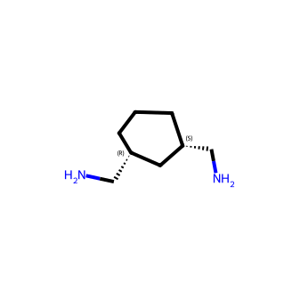 NC[C@@H]1CCC[C@H](CN)C1